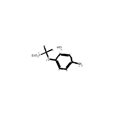 CCOC(=O)C(C)(C)Oc1ccc(N)cc1.Cl